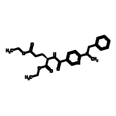 CCOC(=O)CC[C@H](NC(=O)c1ccc(N(C)Cc2ccccc2)nc1)C(=O)OCC